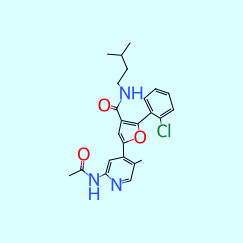 CC(=O)Nc1cc(-c2cc(C(=O)NCCC(C)C)c(-c3ccccc3Cl)o2)c(C)cn1